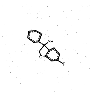 OCC(S)(c1ccccc1)c1ccc(F)cc1